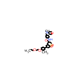 CCCOCCOc1ccc(-c2ccc3c(c2)C=C(C(=O)Nc2ccc(CN(C)C4CCOCC4)cc2)CCS3(=O)=O)cc1C